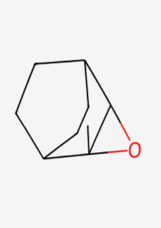 CC12OC1C1CCC2CC1